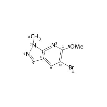 COc1nc2c(cnn2C)cc1Br